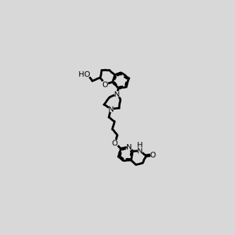 O=C1CCc2ccc(OCCCCN3CCN(c4cccc5c4OC(CO)CC5)CC3)nc2N1